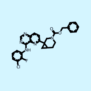 O=C(OCc1ccccc1)N1CCC2CC2(c2ccc3ncnc(Nc4cccc(Cl)c4F)c3n2)C1